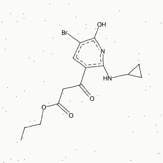 CCCOC(=O)CC(=O)c1cc(Br)c(O)nc1NC1CC1